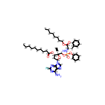 C#C[C@]1(CO[P@@](=O)(N[C@@H](Cc2ccccc2)C(=O)OCCCCCCCC)Oc2ccccc2)O[C@@H](n2cnc3c(N)nc(F)nc32)C[C@@H]1OC(=O)CCCCCCCCC